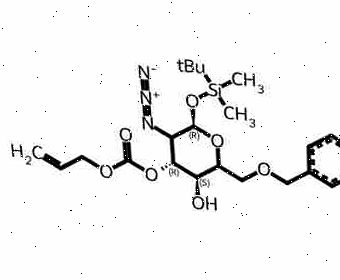 C=CCOC(=O)O[C@@H]1C(N=[N+]=[N-])[C@@H](O[Si](C)(C)C(C)(C)C)OC(COCc2ccccc2)[C@H]1O